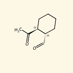 CC(=O)[C@H]1CCCC[C@@H]1C=O